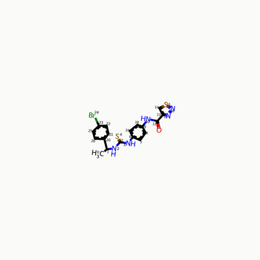 CC(NC(=S)Nc1ccc(NC(=O)c2csnn2)cc1)c1ccc(Br)cc1